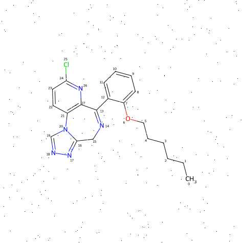 CCCCCCOc1ccccc1C1=NCc2nncn2-c2ccc(Cl)nc21